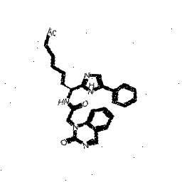 CC(=O)CCCCC[C@H](NC(=O)Cn1c(=O)ncc2ccccc21)c1ncc(-c2ccccc2)[nH]1